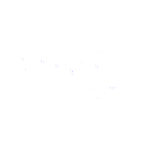 Cc1cc(NC(=O)c2ccc(S(=N)(=O)C3CC3)cc2N2CCC3(CC2)CC3)nc(N2CC(F)(F)C2)c1